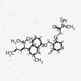 C=C/C=C(/c1cc(C)nc2c(OCc3c(I)cncc3OCC(=O)N(C)CCC)cccc12)N(C)C